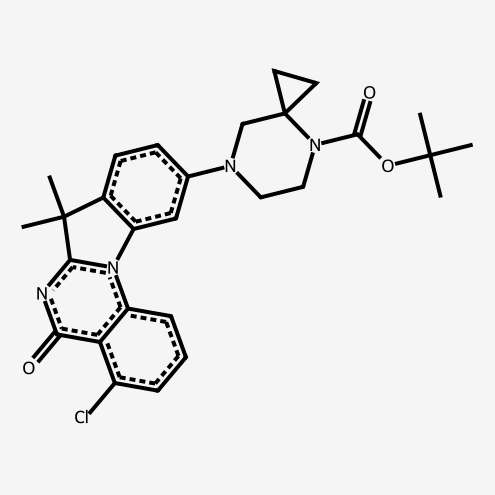 CC(C)(C)OC(=O)N1CCN(c2ccc3c(c2)-n2c(nc(=O)c4c(Cl)cccc42)C3(C)C)CC12CC2